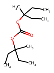 CCC(C)(CC)OC(=O)OC(C)(CC)CC